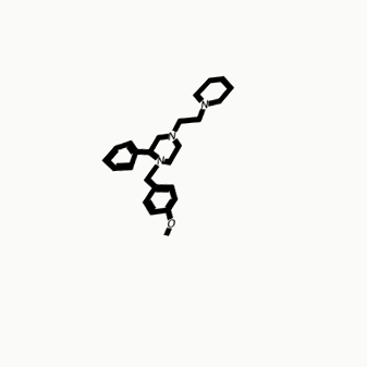 COc1ccc(CN2CCN(CCN3CCCCC3)CC2c2ccccc2)cc1